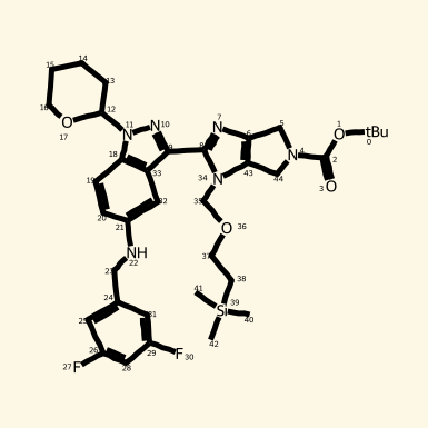 CC(C)(C)OC(=O)N1Cc2nc(-c3nn(C4CCCCO4)c4ccc(NCc5cc(F)cc(F)c5)cc34)n(COCC[Si](C)(C)C)c2C1